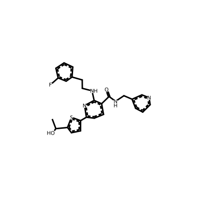 CC(O)c1ccc(-c2ccc(C(=O)NCc3cccnc3)c(NCCc3cccc(F)c3)n2)s1